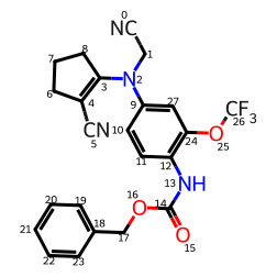 N#CCN(C1=C(C#N)CCC1)c1ccc(NC(=O)OCc2ccccc2)c(OC(F)(F)F)c1